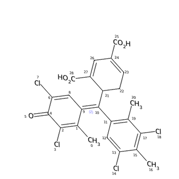 CC1=C(Cl)C(=O)C(Cl)=C/C1=C(/c1cc(Cl)c(C)c(Cl)c1C)C1CC=C(C(=O)O)C=C1C(=O)O